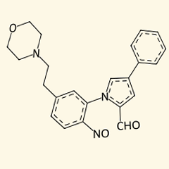 O=Cc1cc(-c2ccccc2)cn1-c1cc(CCN2CCOCC2)ccc1N=O